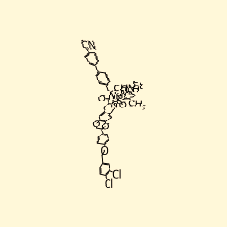 CCNc1nc(S(=O)(=O)N2Cc3cc4c(cc3C[C@H]2C(=O)NC(Cc2ccc(-c3ccc(C#N)cc3)cc2)C(=O)O)OC[C@H](c2ccc(OCc3ccc(Cl)c(Cl)c3)cc2)O4)c(C)s1